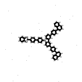 c1ccc2c(-c3ccc(-c4ccc5c(c4)c4cc(-c6ccc(-c7cccc8ccccc78)cc6)ccc4n5-c4ccc(-c5ccc(-c6nc7ccccc7o6)cc5)cc4)cc3)cccc2c1